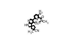 CN(C)C(=O)c1nc(-c2cnc3c(c2Cl)C2(CCC(C)(C#N)C2)CN3)ccc1N